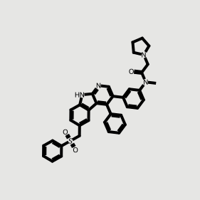 CN(C(=O)CN1CCCC1)c1cccc(-c2cnc3[nH]c4ccc(CS(=O)(=O)c5ccccc5)cc4c3c2-c2ccccc2)c1